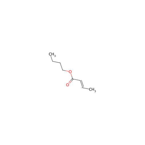 C[C]=CC(=O)OCCCC